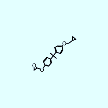 CC(C)(c1ccc(OCC2CC2)cc1)c1ccc(OC2CO2)cc1